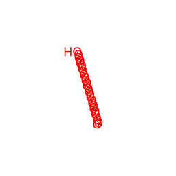 CCC(C)(C)C(=O)OCCOCCOCCOCCOCCOCCOCCOCCOCCOCCOCCOCCOCCOCCOCCOCCOCCOCCOCCOCCOCCOCCOCCOCCOCCO